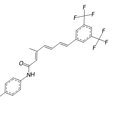 CC(C=CC=Cc1cc(C(F)(F)F)cc(C(F)(F)F)c1)=CC(=O)Nc1ccc(O)cc1